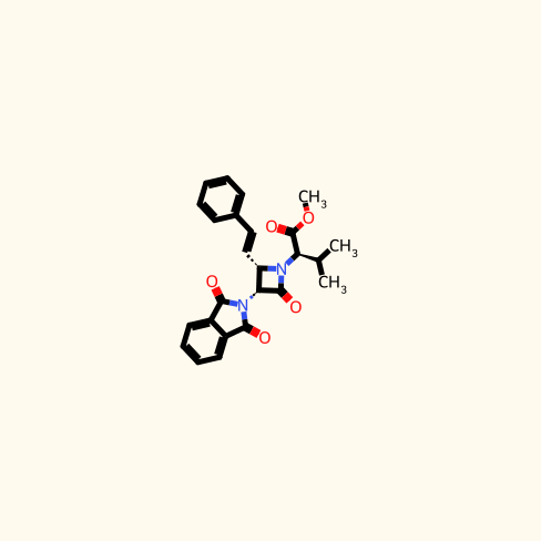 COC(=O)[C@@H](C(C)C)N1C(=O)[C@H](N2C(=O)c3ccccc3C2=O)[C@@H]1C=Cc1ccccc1